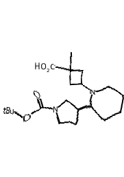 CC(C)(C)OC(=O)N1CCC(C2CCCCN2C2CC(C)(C(=O)O)C2)C1